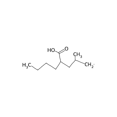 [CH2]C(C)CC(CCCC)C(=O)O